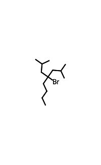 CCCCC(Br)(CC(C)C)CC(C)C